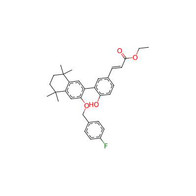 CCOC(=O)C=Cc1ccc(O)c(-c2cc3c(cc2OCc2ccc(F)cc2)C(C)(C)CCC3(C)C)c1